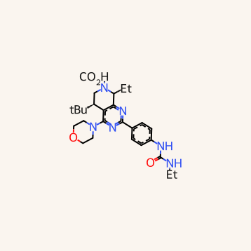 CCNC(=O)Nc1ccc(-c2nc3c(c(N4CCOCC4)n2)[C@@H](C(C)(C)C)CN(C(=O)O)C3CC)cc1